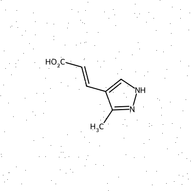 Cc1n[nH]cc1C=CC(=O)O